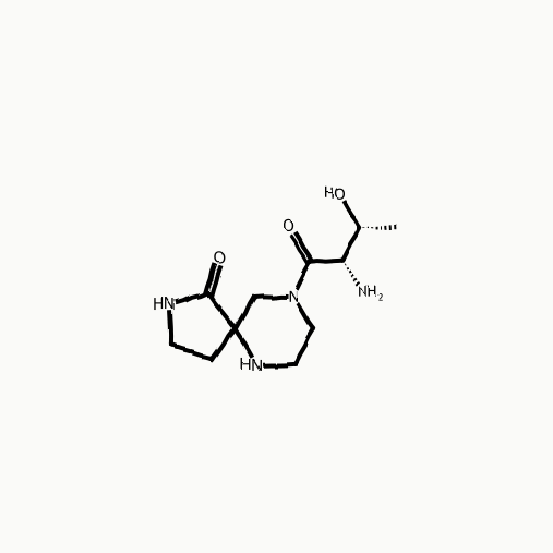 C[C@@H](O)[C@H](N)C(=O)N1CCNC2(CCNC2=O)C1